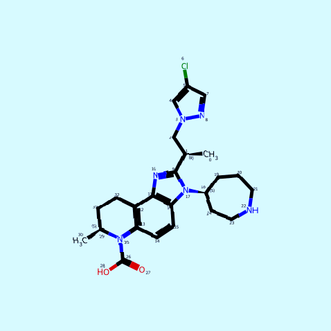 C[C@H](Cn1cc(Cl)cn1)c1nc2c3c(ccc2n1[C@H]1CCCNCC1)N(C(=O)O)[C@@H](C)CC3